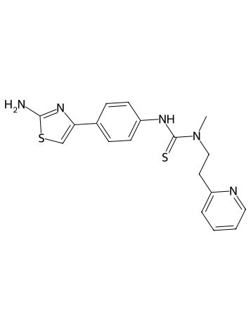 CN(CCc1ccccn1)C(=S)Nc1ccc(-c2csc(N)n2)cc1